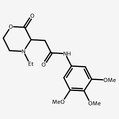 CCN1CCOC(=O)C1CC(=O)Nc1cc(OC)c(OC)c(OC)c1